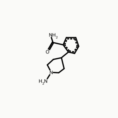 NC(=O)c1ccccc1C1CCN(N)CC1